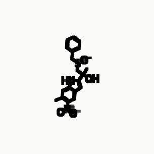 Cc1cc2[nH]c(C(C)(O)C[S+]([O-])Cc3ccccc3)cc2cc1[N+](=O)[O-]